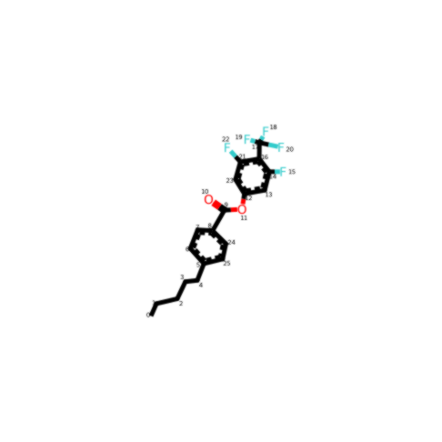 CCCCCc1ccc(C(=O)Oc2cc(F)c(C(F)(F)F)c(F)c2)cc1